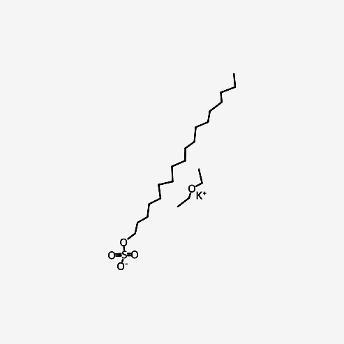 CCCCCCCCCCCCCCCCCCOS(=O)(=O)[O-].CCOCC.[K+]